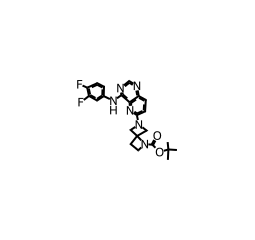 CC(C)(C)OC(=O)N1CCC12CN(c1ccc3ncnc(Nc4ccc(F)c(F)c4)c3n1)C2